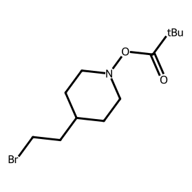 CC(C)(C)C(=O)ON1CCC(CCBr)CC1